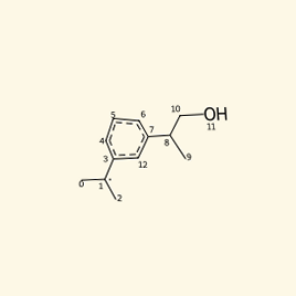 C[C](C)c1cccc(C(C)CO)c1